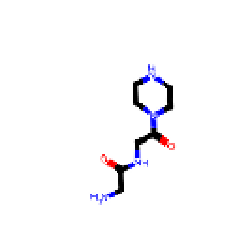 NCC(=O)NCC(=O)N1CCNCC1